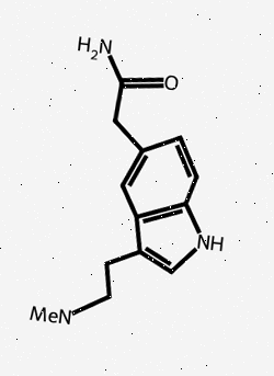 CNCCc1c[nH]c2ccc(CC(N)=O)cc12